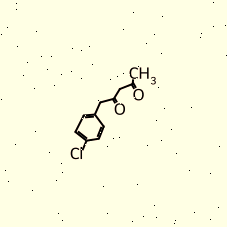 CC(=O)CC(=O)Cc1ccc(Cl)cc1